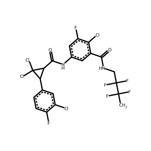 CC(F)(F)C(F)(F)CNC(=O)c1cc(NC(=O)C2C(c3ccc(F)c(Cl)c3)C2(Cl)Cl)cc(F)c1Cl